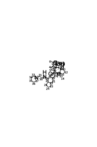 CC(C)C1=CC2CC3(C=O)[C@@H]4CC[C@@H](C)[C@H]4CC2([C@H]2C[C@@H](CC4CCCC4)[C@H](CNCCN4CCCCC4)O2)[C@]13C(=O)O